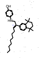 CCCCCCCC/C=C(/CNc1ccc(O)cc1)c1ccc2c(c1)C(C)(C)CCC2(C)C